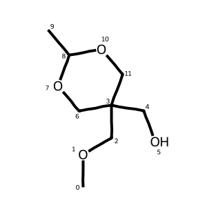 COCC1(CO)COC(C)OC1